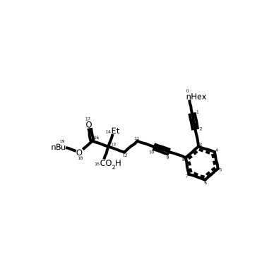 CCCCCCC#Cc1ccccc1C#CCCC(CC)(C(=O)O)C(=O)OCCCC